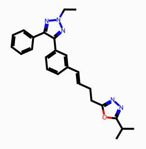 CCn1nc(-c2ccccc2)c(-c2cccc(/C=C/CCc3nnc(C(C)C)o3)c2)n1